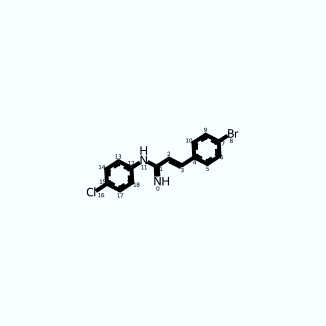 N=C(C=Cc1ccc(Br)cc1)Nc1ccc(Cl)cc1